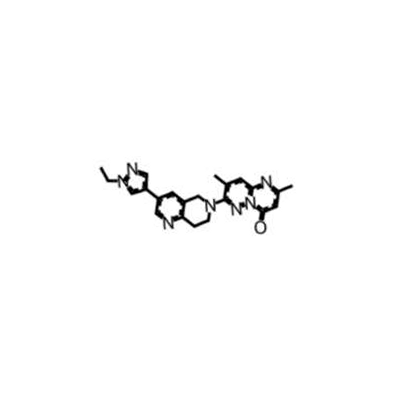 CCn1cc(-c2cnc3c(c2)CN(c2nn4c(=O)cc(C)nc4cc2C)CC3)cn1